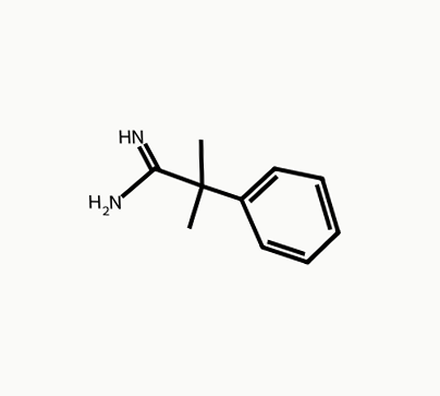 CC(C)(C(=N)N)c1ccccc1